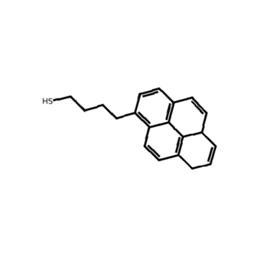 SCCCCc1ccc2c3c4c(ccc13)CC=CC4C=C2